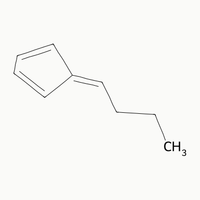 CCCC=C1C=CC=C1